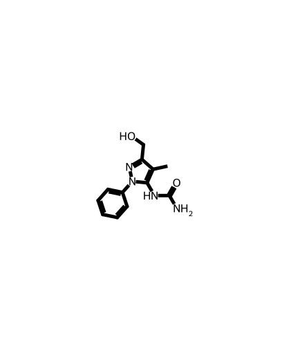 Cc1c(CO)nn(-c2ccccc2)c1NC(N)=O